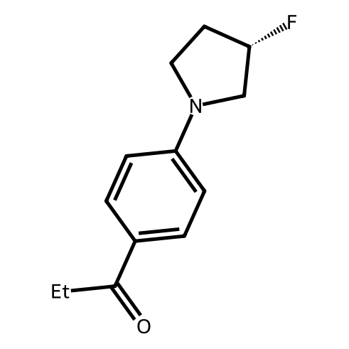 CCC(=O)c1ccc(N2CC[C@H](F)C2)cc1